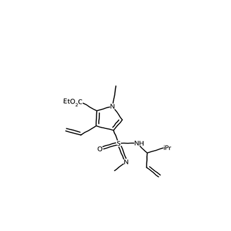 C=Cc1c(S(=O)(=NC)NC(C=C)C(C)C)cn(C)c1C(=O)OCC